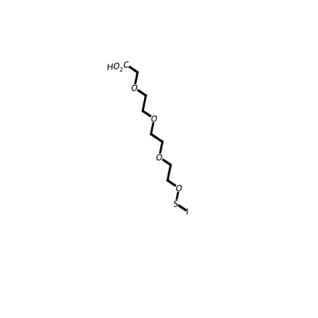 O=C(O)COCCOCCOCCOSI